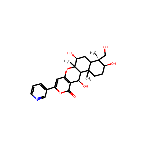 CC12CC[C@H](O)[C@](C)(CO)C1C[C@H](O)C1(C)Oc3cc(-c4cccnc4)oc(=O)c3[C@H](O)C21